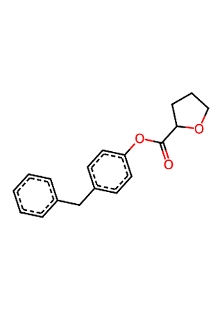 O=C(Oc1ccc(Cc2ccccc2)cc1)C1CCCO1